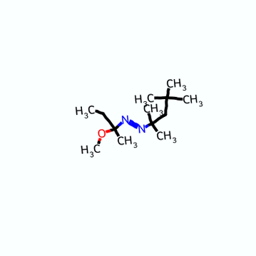 CCC(C)(/N=N/C(C)(C)CC(C)(C)C)OC